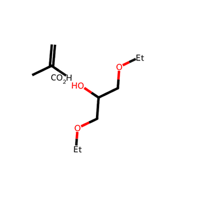 C=C(C)C(=O)O.CCOCC(O)COCC